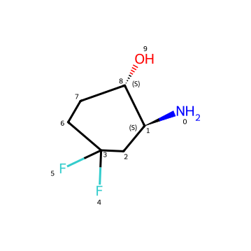 N[C@H]1CC(F)(F)CC[C@@H]1O